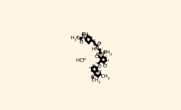 COc1cc(C)nc2c(OCc3c(Cl)ccc(N(C)C(=O)CNC(=O)/C=C/c4ccc(N(C)C(C)=O)cc4)c3Cl)cccc12.Cl